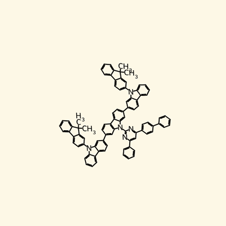 CC1(C)c2ccccc2-c2ccc(-n3c4ccccc4c4ccc(-c5ccc6c7ccc(-c8ccc9c%10ccccc%10n(-c%10ccc%11c(c%10)C(C)(C)c%10ccccc%10-%11)c9c8)cc7n(-c7nc(-c8ccccc8)cc(-c8ccc(-c9ccccc9)cc8)n7)c6c5)cc43)cc21